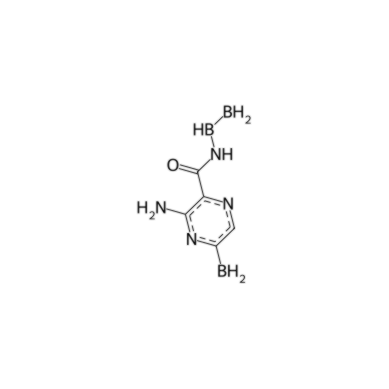 BBNC(=O)c1ncc(B)nc1N